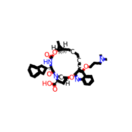 CC1[C@H]2CCCCCc3c(nc4ccccc4c3OCCCN(C)C)O[C@@H]3C[C@@H](C(=O)O)N(C3)C(=O)[C@H](C3Cc4ccccc4C3)NC(=O)O[C@H]12